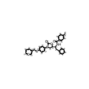 O=C(NC(Cc1ccccc1)[C@H]1CN(c2ccc(SCc3ccccc3)cc2)C(=O)O1)c1ccc(F)cc1